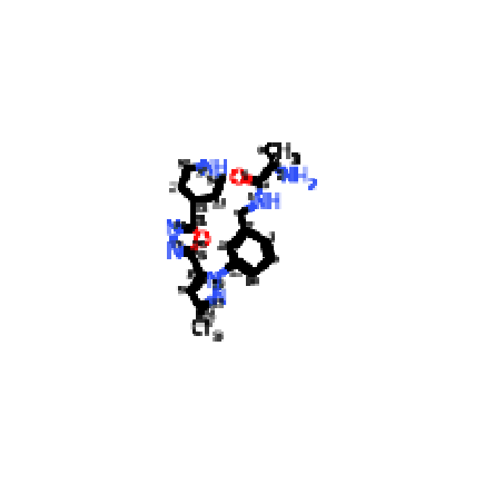 C[C@H](N)C(=O)NCc1cccc(-n2nc(C(F)(F)F)cc2-c2nnc(C3CCNCC3)o2)c1